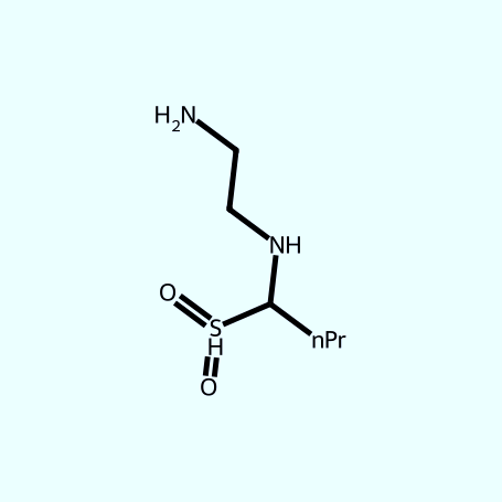 CCCC(NCCN)[SH](=O)=O